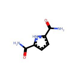 NC(=O)c1ccc(C(N)=O)[nH]1